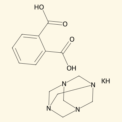 C1N2CN3CN1CN(C2)C3.O=C(O)c1ccccc1C(=O)O.[KH]